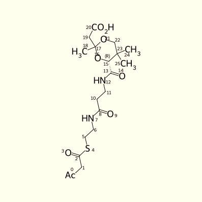 CC(=O)CC(=O)SCCNC(=O)CCNC(=O)[C@@H]1OC(C)(CC(=O)O)OCC1(C)C